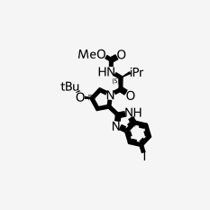 COC(=O)N[C@H](C(=O)N1C[C@H](OC(C)(C)C)CC1c1nc2cc(I)ccc2[nH]1)C(C)C